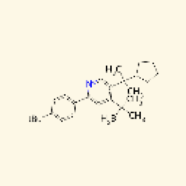 BC(C)(C)c1cc(-c2ccc(C(C)(C)C)cc2)ncc1C(C)(C)C1CCCC1